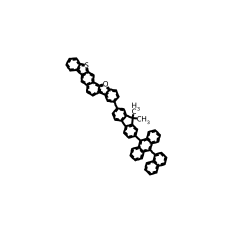 CC1(C)c2cc(-c3ccc4oc5c6cc7sc8ccccc8c7cc6ccc5c4c3)ccc2-c2ccc(-c3c4ccccc4c(-c4cccc5ccccc45)c4ccccc34)cc21